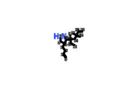 C=CCC[C@@](C)(CC)C(N)[C@@](C)(CC)CC(C)(C)C=C